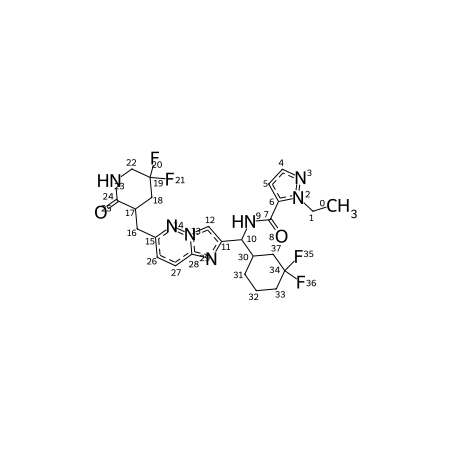 CCn1nccc1C(=O)NC(c1cn2nc(CC3CC(F)(F)CNC3=O)ccc2n1)C1CCCC(F)(F)C1